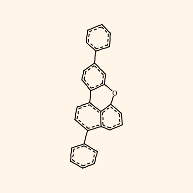 c1ccc(-c2ccc3c(c2)Oc2cccc4c(-c5ccccc5)ccc-3c24)cc1